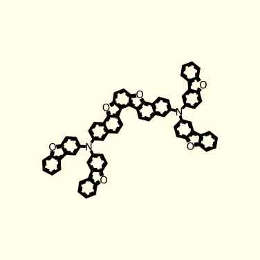 c1ccc2c(c1)oc1ccc(N(c3ccc4c(ccc5c4oc4ccc6oc7c8ccc(N(c9ccc%10oc%11ccccc%11c%10c9)c9ccc%10oc%11ccccc%11c%10c9)cc8ccc7c6c45)c3)c3ccc4oc5ccccc5c4c3)cc12